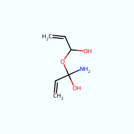 C=CC(O)OC(N)(O)C=C